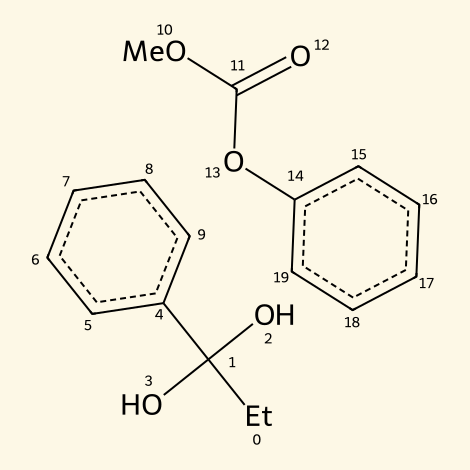 CCC(O)(O)c1ccccc1.COC(=O)Oc1ccccc1